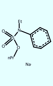 CCCOS(=O)(=O)N(CC)c1ccccc1.[Na]